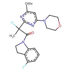 COc1cc(N2CCOCC2)nc(C(C)(F)C(=O)N2CCc3c(F)cccc32)n1